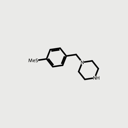 CSc1ccc(CN2CCNCC2)cc1